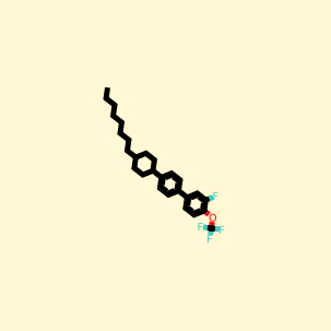 CCCCCCCCC1CCC(c2ccc(-c3ccc(OC(F)(F)F)c(F)c3)cc2)CC1